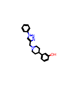 Oc1cccc(C2CCN(Cc3cn(-c4ccccc4)nn3)CC2)c1